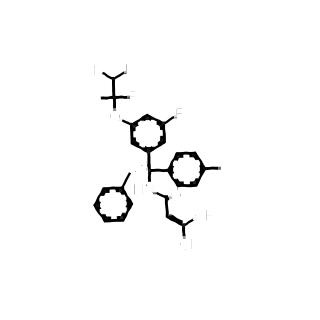 O=C(C=C(C(F)(F)F)C(F)(F)F)N[C@](Cc1ccccc1)(c1ccc(F)cc1)c1cc(F)cc(OC(F)(F)C(F)F)c1